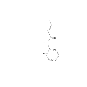 C/C=C/C(=O)Nc1ccccc1O